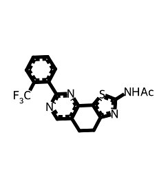 CC(=O)Nc1nc2c(s1)-c1nc(-c3ccccc3C(F)(F)F)ncc1CC2